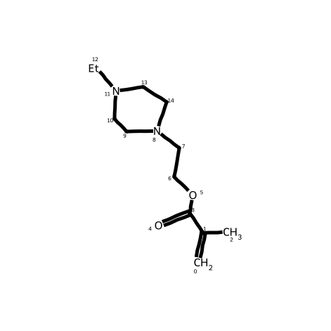 C=C(C)C(=O)OCCN1CCN(CC)CC1